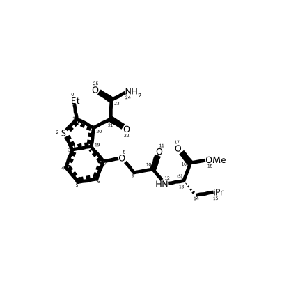 CCc1sc2cccc(OCC(=O)N[C@@H](CC(C)C)C(=O)OC)c2c1C(=O)C(N)=O